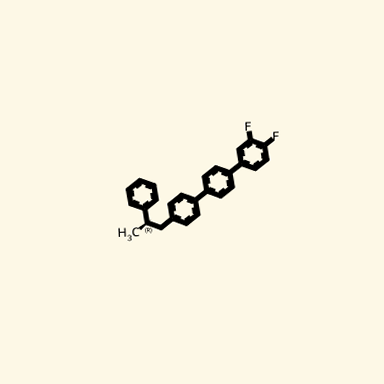 C[C@H](Cc1ccc(-c2ccc(-c3ccc(F)c(F)c3)cc2)cc1)c1ccccc1